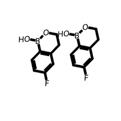 OB1OCCc2cc(F)ccc21.OB1OCCc2cc(F)ccc21